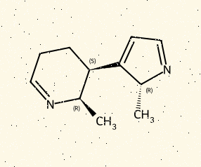 C[C@H]1N=CC=C1[C@@H]1CCC=N[C@@H]1C